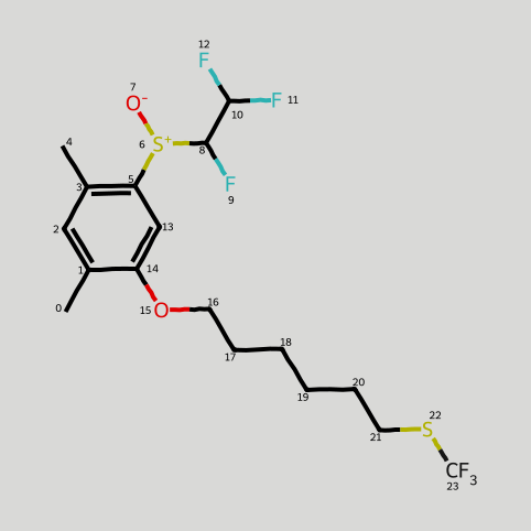 Cc1cc(C)c([S+]([O-])C(F)C(F)F)cc1OCCCCCCSC(F)(F)F